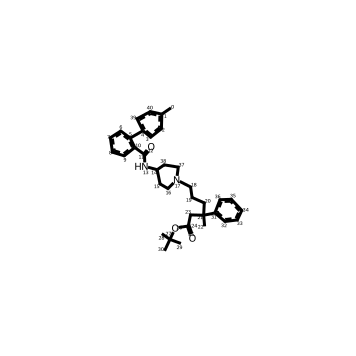 Cc1ccc(-c2ccccc2C(=O)NC2CCN(CCCC(C)(CC(=O)OC(C)(C)C)c3ccccc3)CC2)cc1